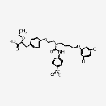 CCOC(Cc1ccc(OCCN(CCCCOc2cc(Cl)cc(Cl)c2)C(=O)Nc2ccc([N+](=O)[O-])cc2)cc1)C(=O)O